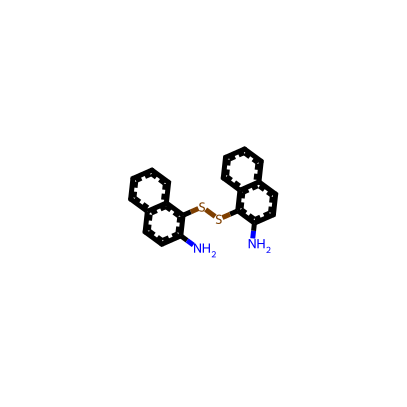 Nc1ccc2ccccc2c1SSc1c(N)ccc2ccccc12